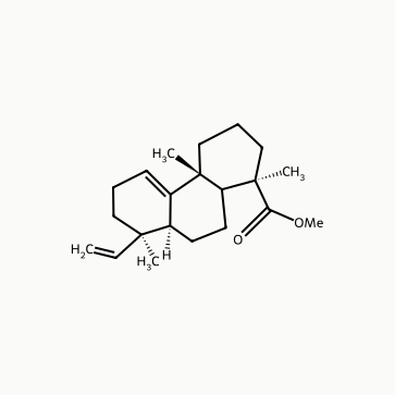 C=C[C@@]1(C)CCC=C2[C@H]1CCC1[C@](C)(C(=O)OC)CCC[C@@]21C